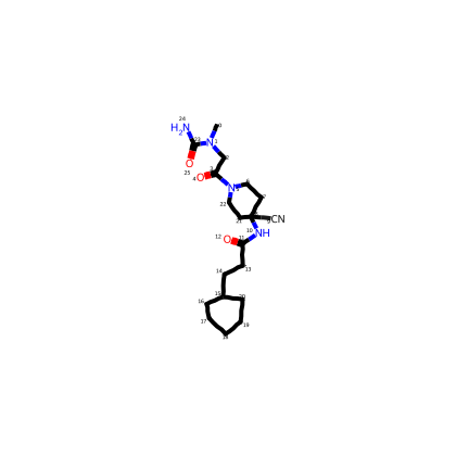 CN(CC(=O)N1CCC(C#N)(NC(=O)[CH]CC2CCCCC2)CC1)C(N)=O